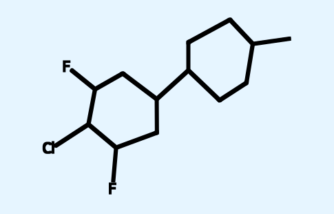 CC1CCC(C2CC(F)C(Cl)C(F)C2)CC1